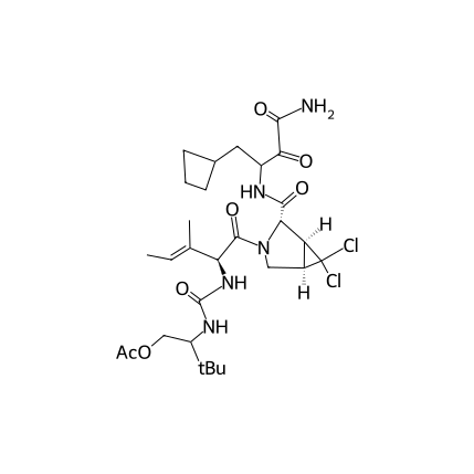 C/C=C(\C)[C@H](NC(=O)NC(COC(C)=O)C(C)(C)C)C(=O)N1C[C@H]2[C@@H]([C@H]1C(=O)NC(CC1CCC1)C(=O)C(N)=O)C2(Cl)Cl